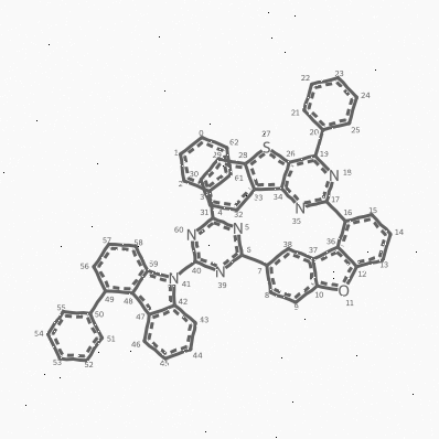 c1ccc(-c2nc(-c3ccc4oc5cccc(-c6nc(-c7ccccc7)c7sc8ccccc8c7n6)c5c4c3)nc(-n3c4ccccc4c4c(-c5ccccc5)cccc43)n2)cc1